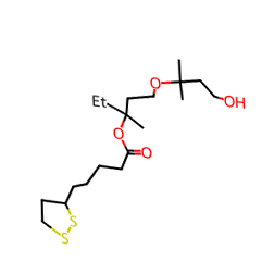 CCC(C)(CCOC(C)(C)CCO)OC(=O)CCCCC1CCSS1